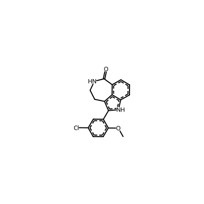 COc1ccc(Cl)cc1-c1[nH]c2cccc3c2c1CCNC3=O